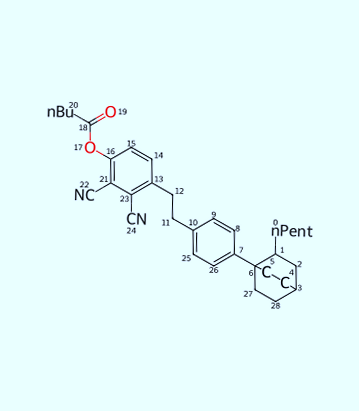 CCCCCC1CC2CCC1(c1ccc(CCc3ccc(OC(=O)CCCC)c(C#N)c3C#N)cc1)CC2